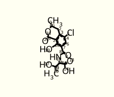 C[C@@H]1Cc2c(Cl)cc(C(=O)N[C@H](C(=O)O)[C@@H](C)O)c(O)c2C(=O)O1